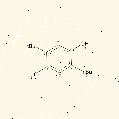 CCCCc1cc(F)c(C(C)(C)C)cc1O